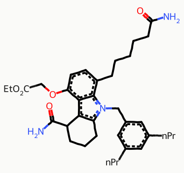 CCCc1cc(CCC)cc(Cn2c3c(c4c(OCC(=O)OCC)ccc(CCCCCC(N)=O)c42)C(C(N)=O)CCC3)c1